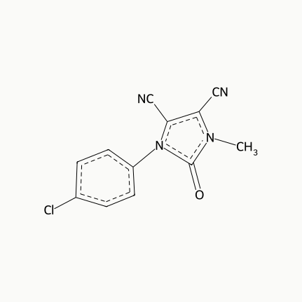 Cn1c(C#N)c(C#N)n(-c2ccc(Cl)cc2)c1=O